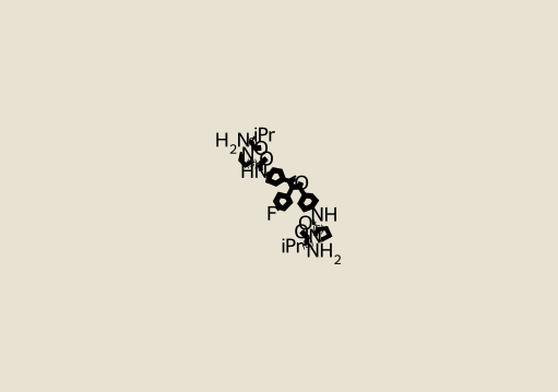 CC(C)[C@H](N)C(=O)N1CCC[C@H]1C(=O)Nc1ccc(-c2coc(-c3ccc(NC(=O)[C@@H]4CCCN4C(=O)[C@@H](N)C(C)C)cc3)c2-c2ccc(F)cc2)cc1